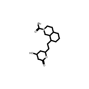 CCC(C)C(=O)N1CCC2CCCC(CCC3CC(O)CC(=O)O3)C2C1